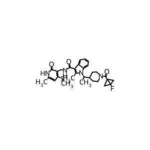 CSc1cc(C)[nH]c(=O)c1CNC(=O)c1c(C)n(C(C)C2CCN(C(=O)C34CC3(F)C4)CC2)c2ccccc12